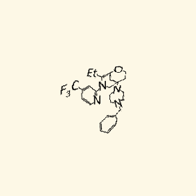 CCC1=C2CC(N3CCN(Cc4ccccc4)CC3)(CCO2)CN1c1cc(C(F)(F)F)ccn1